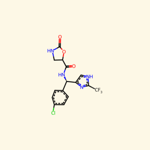 O=C1NCC(C(=O)N[C@H](c2ccc(Cl)cc2)c2c[nH]c(C(F)(F)F)n2)O1